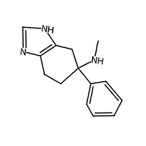 CNC1(c2ccccc2)CCc2nc[nH]c2C1